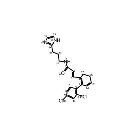 O=C(/C=C/C1=C(c2ccc(Cl)cc2Cl)C=CC[CH]1)NCCCc1ncc[nH]1